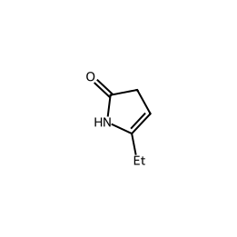 CCC1=CCC(=O)N1